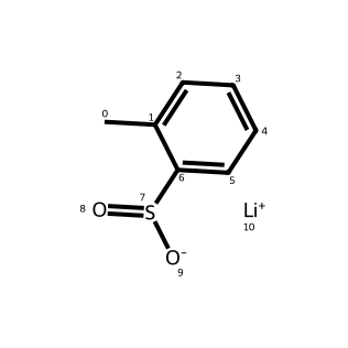 Cc1ccccc1S(=O)[O-].[Li+]